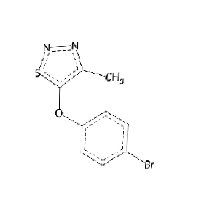 Cc1nnsc1Oc1ccc(Br)cc1